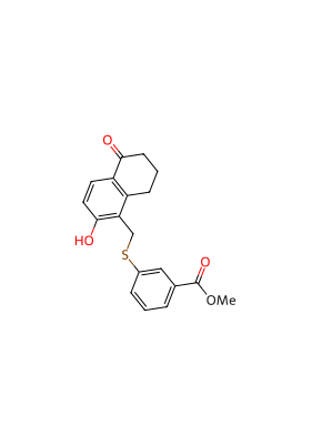 COC(=O)c1cccc(SCc2c(O)ccc3c2CCCC3=O)c1